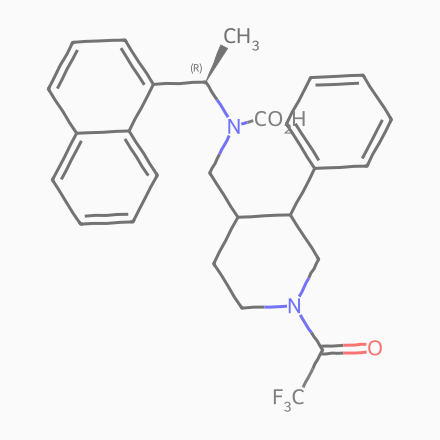 C[C@H](c1cccc2ccccc12)N(CC1CCN(C(=O)C(F)(F)F)CC1c1ccccc1)C(=O)O